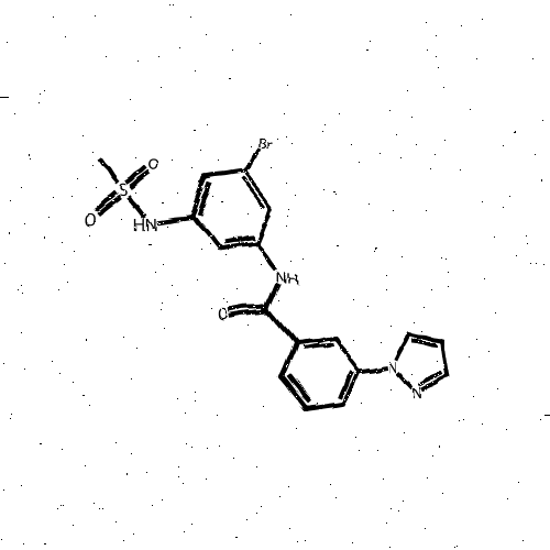 CS(=O)(=O)Nc1cc(Br)cc(NC(=O)c2cccc(-n3cccn3)c2)c1